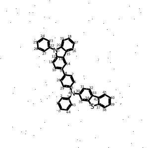 c1ccc(N(c2ccc(-c3ccc4c(c3)c3ccccc3n4-c3ccccc3)cc2)c2ccc3c(c2)sc2ccccc23)cc1